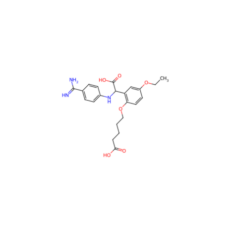 CCOc1ccc(OCCCCC(=O)O)c(C(Nc2ccc(C(=N)N)cc2)C(=O)O)c1